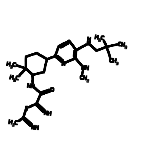 CNc1nc(C2CCC(C)(C)C(NC(=O)C(=N)SC(C)=N)C2)ccc1NCC(C)(C)C